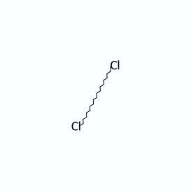 ClCCCCCCCCCCCCCCCCCCCl